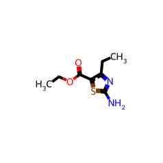 CCOC(=O)c1sc(N)nc1CC